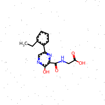 CCc1ccccc1-c1cnc(O)c(C(=O)NCC(=O)O)n1